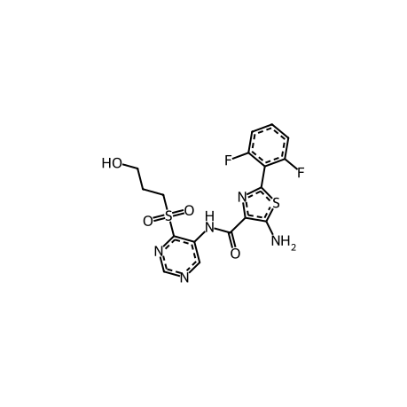 Nc1sc(-c2c(F)cccc2F)nc1C(=O)Nc1cncnc1S(=O)(=O)CCCO